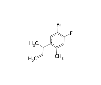 C=CC(C)c1cc(Br)c(F)cc1C